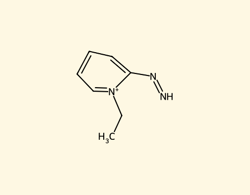 CC[n+]1ccccc1N=N